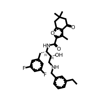 CCc1cccc(CNC[C@@H](O)[C@H](Cc2cc(F)cc(F)c2)NC(=O)c2oc3c(c2C)C(=O)CC(C)(C)C3)c1